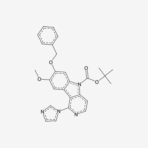 COc1cc2c3c(-n4ccnc4)nccc3n(C(=O)OC(C)(C)C)c2cc1OCc1ccccc1